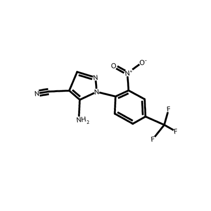 N#Cc1cnn(-c2ccc(C(F)(F)F)cc2[N+](=O)[O-])c1N